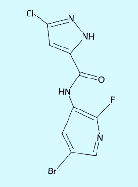 O=C(Nc1cc(Br)cnc1F)c1cc(Cl)n[nH]1